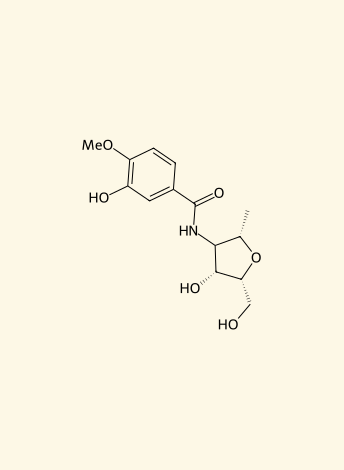 COc1ccc(C(=O)NC2[C@H](C)O[C@H](CO)[C@@H]2O)cc1O